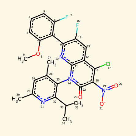 COc1cccc(F)c1-c1nc2c(cc1F)c(Cl)c([N+](=O)[O-])c(=O)n2-c1c(C)cc(C)nc1C(C)C